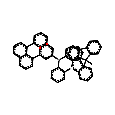 CC1(C)c2ccccc2-c2ccc(N(c3cccc(-c4cccc5cccc(-c6ccccc6)c45)c3)c3ccccc3-n3c4ccccc4c4ccccc43)cc21